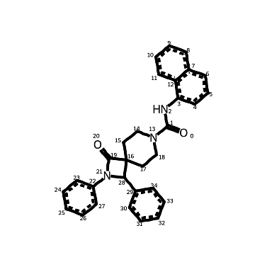 O=C(Nc1cccc2ccccc12)N1CCC2(CC1)C(=O)N(c1ccccc1)C2c1ccccc1